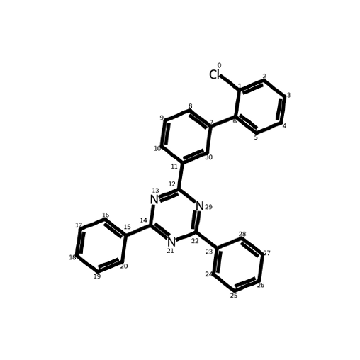 Clc1ccccc1-c1cccc(-c2nc(-c3ccccc3)nc(-c3ccccc3)n2)c1